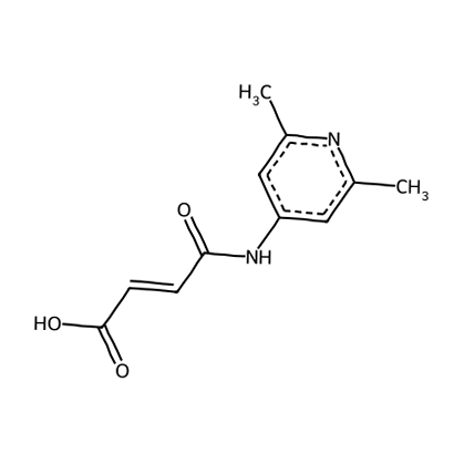 Cc1cc(NC(=O)C=CC(=O)O)cc(C)n1